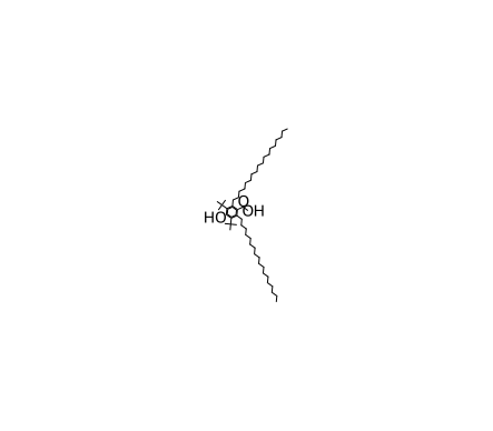 CCCCCCCCCCCCCCCCCCc1c(C(=O)O)c(CCCCCCCCCCCCCCCCCC)c(C(C)(C)C)c(O)c1C(C)(C)C